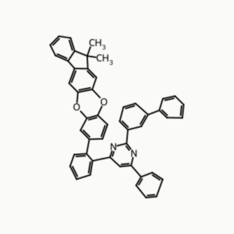 CC1(C)c2ccccc2-c2cc3c(cc21)Oc1ccc(-c2ccccc2-c2cc(-c4ccccc4)nc(-c4cccc(-c5ccccc5)c4)n2)cc1O3